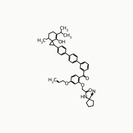 C=CCOc1ccc(C(=O)c2cccc(-c3ccc(-c4ccc(C5CC56C(O)=C(C(C)C)CCC6C)cc4)cc3)c2)c(OCC(=O)NC2(C#N)CCCC2)c1